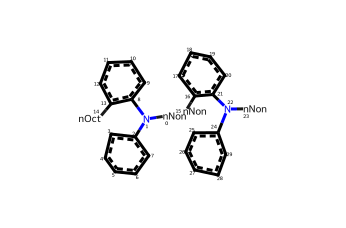 CCCCCCCCCN(c1ccccc1)c1ccccc1CCCCCCCC.CCCCCCCCCc1ccccc1N(CCCCCCCCC)c1ccccc1